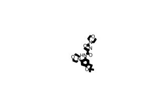 CC1(C)Cc2cc(NC(=O)c3coc(N4CCOCC4)n3)c(N3CCOCC3)cc2O1